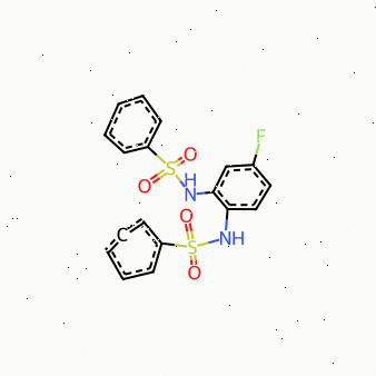 O=S(=O)(Nc1ccc(F)cc1NS(=O)(=O)c1ccccc1)c1ccccc1